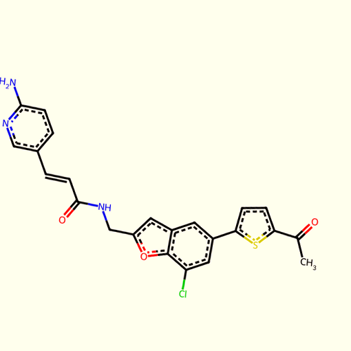 CC(=O)c1ccc(-c2cc(Cl)c3oc(CNC(=O)C=Cc4ccc(N)nc4)cc3c2)s1